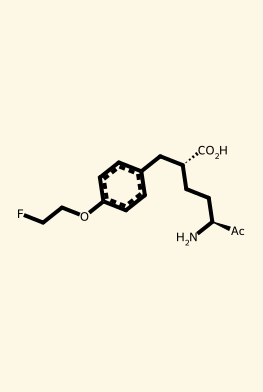 CC(=O)[C@@H](N)CC[C@H](Cc1ccc(OCCF)cc1)C(=O)O